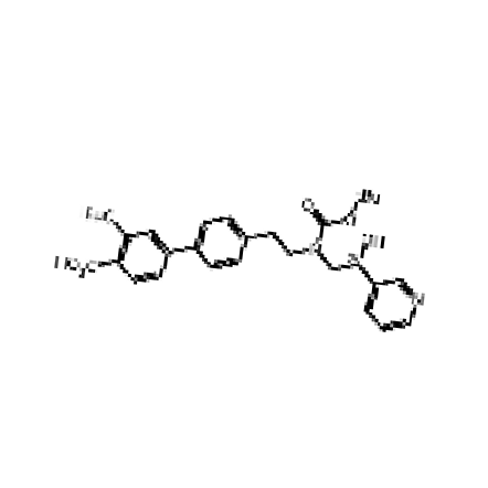 CC(C)COc1cc(-c2ccc(CCN(C[C@@H](O)c3cccnc3)C(=O)OC(C)(C)C)cc2)ccc1C(=O)O